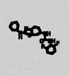 O=C(Nc1ccc2nc(Nc3ccccc3)sc2c1)Nc1c(F)cccc1F